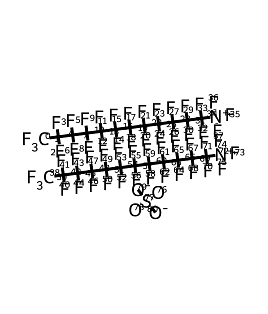 FC(F)(F)C(F)(F)C(F)(F)C(F)(F)C(F)(F)C(F)(F)C(F)(F)C(F)(F)C(F)(F)C(F)(F)C(F)(F)C(F)(F)[N+](F)(F)F.FC(F)(F)C(F)(F)C(F)(F)C(F)(F)C(F)(F)C(F)(F)C(F)(F)C(F)(F)C(F)(F)C(F)(F)C(F)(F)C(F)(F)[N+](F)(F)F.O=S(=O)([O-])[O-]